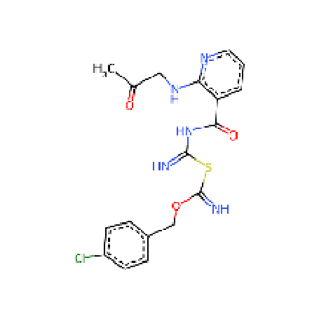 CC(=O)CNc1ncccc1C(=O)NC(=N)SC(=N)OCc1ccc(Cl)cc1